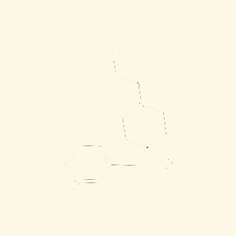 CC(C)(C)OC(=O)N1CCC(C#N)(Cc2cccnc2)CC1